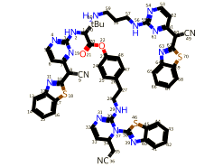 CC(C)(C)C(Nc1nccc(C(C#N)c2nc3ccccc3s2)n1)C(=O)Oc1ccc(CCNC2=NC=CC(CC#N)N2c2nc3ccccc3s2)cc1.N#CC(c1ccnc(NCCCN)n1)c1nc2ccccc2s1